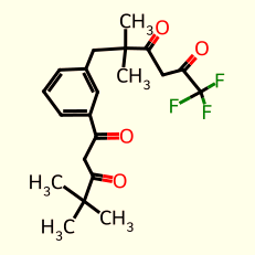 CC(C)(C)C(=O)CC(=O)c1cccc(CC(C)(C)C(=O)CC(=O)C(F)(F)F)c1